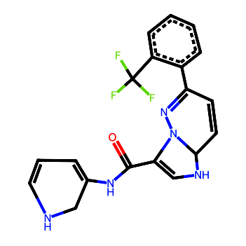 O=C(NC1=CC=CNC1)C1=CNC2C=CC(c3ccccc3C(F)(F)F)=NN12